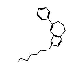 OCCCCCOc1ccc2c(c1)C=C(c1ccccc1)CCC2